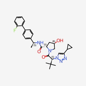 C[C@H](NC(=O)[C@@H]1C[C@@H](O)CN1C(=O)[C@@H](n1cc(C2CC2)nn1)C(C)(C)C)c1ccc(-c2ccccc2F)cc1